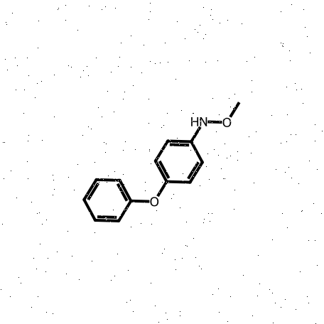 CONc1ccc(Oc2ccccc2)cc1